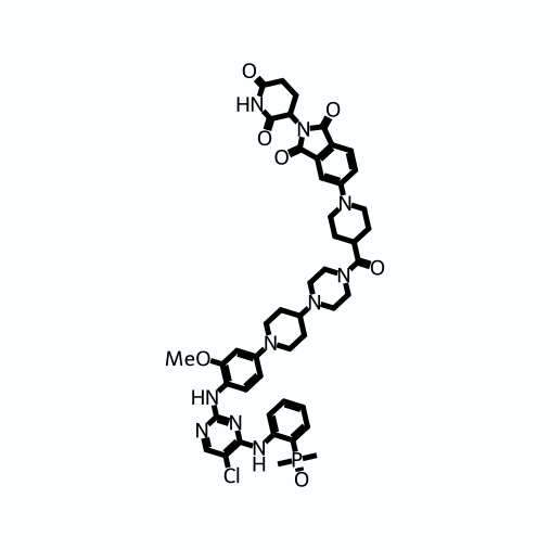 COc1cc(N2CCC(N3CCN(C(=O)C4CCN(c5ccc6c(c5)C(=O)N(C5CCC(=O)NC5=O)C6=O)CC4)CC3)CC2)ccc1Nc1ncc(Cl)c(Nc2ccccc2P(C)(C)=O)n1